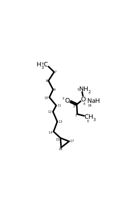 CCC(=O)ON.CCCCCCCCCC1CC1.[NaH]